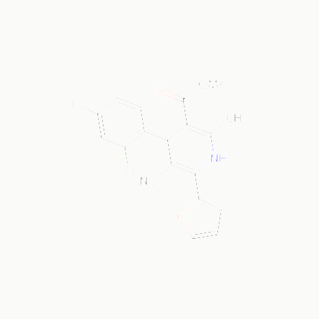 COC(=O)C1=C(C)NC(c2ccco2)=C(C#N)C1c1ccc(F)cc1Cl